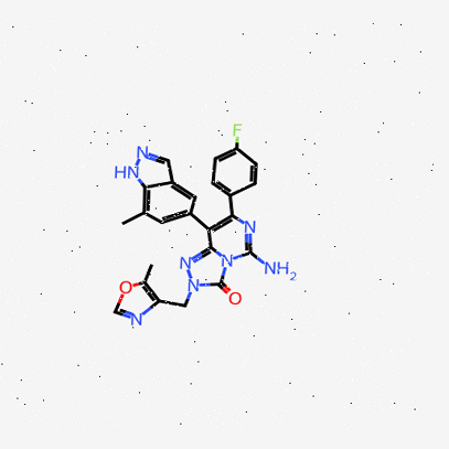 Cc1ocnc1Cn1nc2c(-c3cc(C)c4[nH]ncc4c3)c(-c3ccc(F)cc3)nc(N)n2c1=O